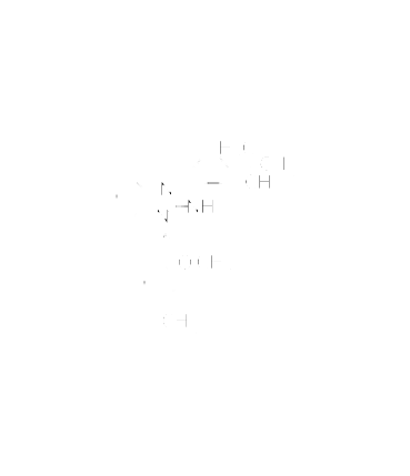 COC[C@H](Cc1ccc(C)cc1)n1c(=N)n(Cc2ccc(C(C)(C)C)cc2)c2ccccc21